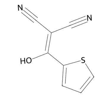 N#CC(C#N)=C(O)c1cccs1